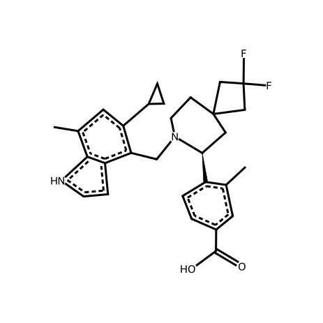 Cc1cc(C(=O)O)ccc1[C@@H]1CC2(CCN1Cc1c(C3CC3)cc(C)c3[nH]ccc13)CC(F)(F)C2